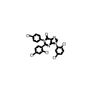 O=c1c2ncn(-c3cc(Cl)ccc3Cl)c2nc(-c2ccc(Cl)cc2Cl)n1-c1ccc(Cl)cc1